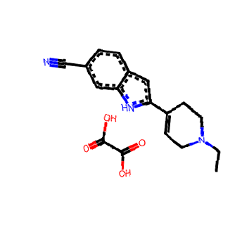 CCN1CC=C(c2cc3ccc(C#N)cc3[nH]2)CC1.O=C(O)C(=O)O